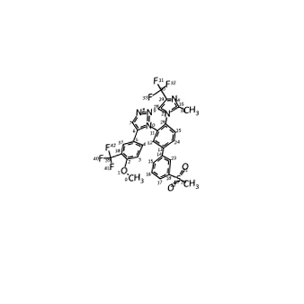 COc1ccc(-c2cnnn2-c2cc(-c3cccc(S(C)(=O)=O)c3)ccc2-n2cc(C(F)(F)F)nc2C)cc1C(F)(F)F